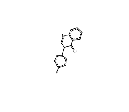 O=C1c2ccccc2N=CC1c1ccc(F)cc1